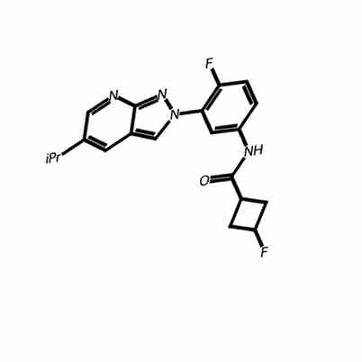 CC(C)c1cnc2nn(-c3cc(NC(=O)C4CC(F)C4)ccc3F)cc2c1